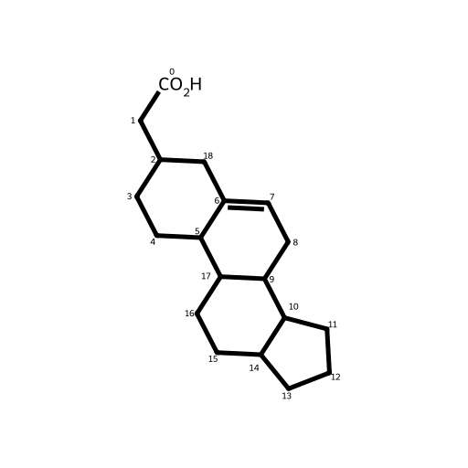 O=C(O)CC1CCC2C(=CCC3C4CCCC4CCC23)C1